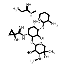 CN[C@@H]1C(O)[C@@H](OC2C(O)[C@@H](O[C@H]3O[C@H](CNC(=N)CN)CCC3N)[C@@H](N)C[C@H]2NC(=N)C2(O)CC2)OCC1(C)O